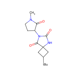 CN1CCC(N2C(=O)NC3(CC(C(C)(C)C)C3)C2=O)C1=O